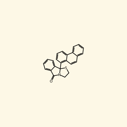 O=C1c2ccccc2C2(c3cccc4c3ccc3ccccc34)SCCN12